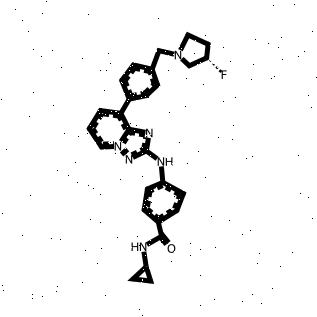 O=C(NC1CC1)c1ccc(Nc2nc3c(-c4ccc(CN5CC[C@H](F)C5)cc4)cccn3n2)cc1